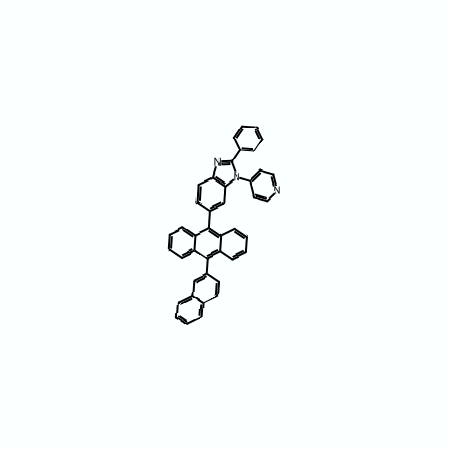 c1ccc(-c2nc3ccc(-c4c5ccccc5c(-c5ccc6ccccc6c5)c5ccccc45)cc3n2-c2ccncc2)cc1